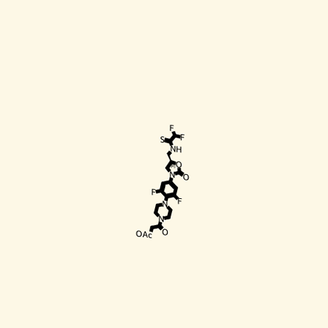 CC(=O)OCC(=O)N1CCN(c2c(F)cc(N3C[C@@H](CNC(=S)C(F)F)OC3=O)cc2F)CC1